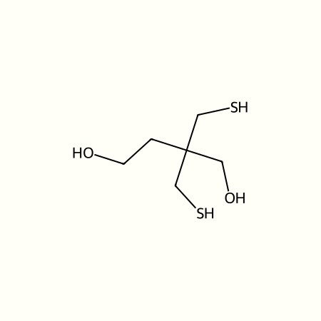 OCCC(CO)(CS)CS